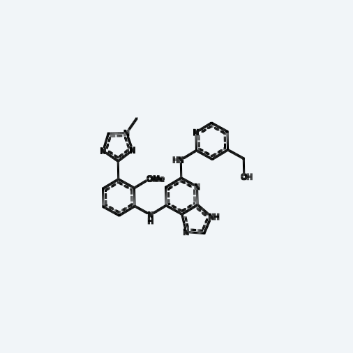 COc1c(Nc2cc(Nc3cc(CO)ccn3)nc3[nH]cnc23)cccc1-c1ncn(C)n1